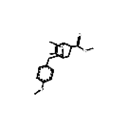 COC(=O)C1CC2C(C)=CC1N(C)C2Cc1ccc(OC)cc1